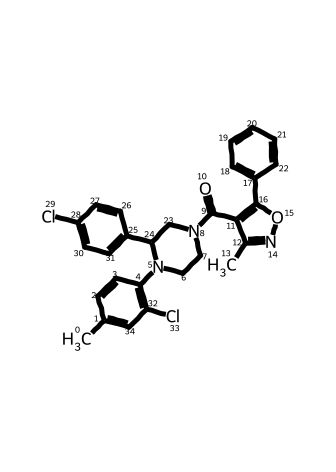 Cc1ccc(N2CCN(C(=O)c3c(C)noc3-c3ccccc3)CC2c2ccc(Cl)cc2)c(Cl)c1